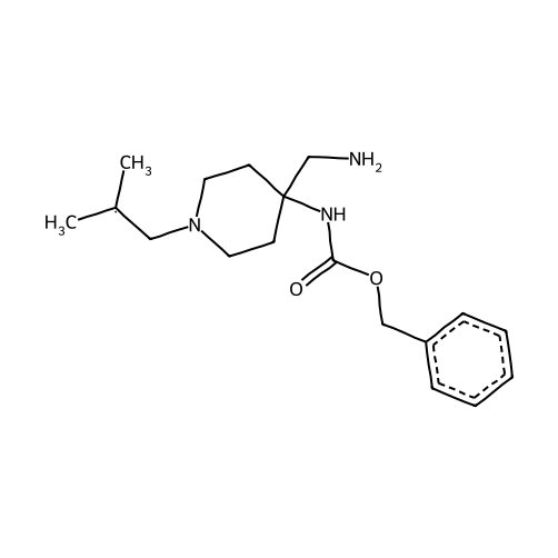 C[C](C)CN1CCC(CN)(NC(=O)OCc2ccccc2)CC1